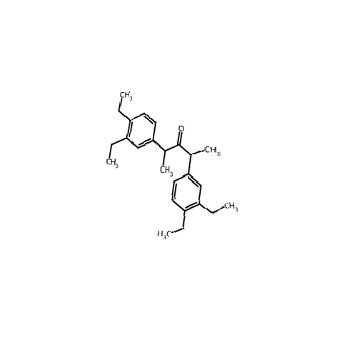 CCc1ccc(C(C)C(=O)C(C)c2ccc(CC)c(CC)c2)cc1CC